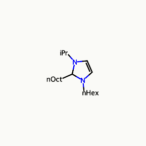 CCCCCCCCC1N(CCCCCC)C=CN1C(C)C